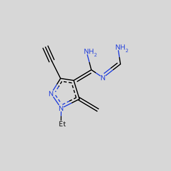 C#Cc1nn(CC)c(=C)/c1=C(N)\N=C/N